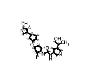 CC(CO)c1cncc(NC(=O)Nc2ccc(Oc3ccnc(-c4cnn(C)c4)c3)cc2F)c1